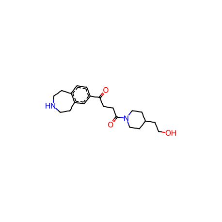 O=C(CCC(=O)N1CCC(CCO)CC1)c1ccc2c(c1)CCNCC2